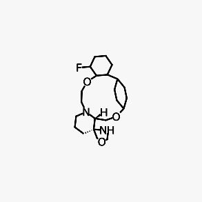 FC1CCCC2C3CCC(CC3)OC[C@H]3N(CCC[C@]34COCCN4)CCOC12